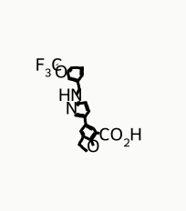 O=C(O)c1cc(-c2ccc(NCc3cccc(OC(F)(F)F)c3)nc2)cc2c1OCC2